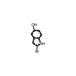 Oc1ccc2[nH]c(Br)cc2c1